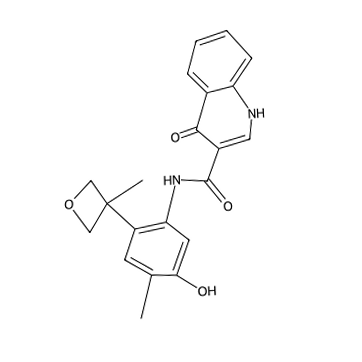 Cc1cc(C2(C)COC2)c(NC(=O)c2c[nH]c3ccccc3c2=O)cc1O